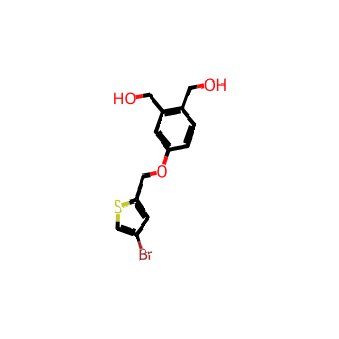 OCc1ccc(OCc2cc(Br)cs2)cc1CO